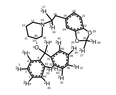 [2H]c1c([2H])c([2H])c(C([2H])(O[C@@H]2CCCN(C([2H])([2H])Cc3ccc4c(c3)OC([2H])([2H])O4)C2)c2c([2H])c([2H])c([2H])c([2H])c2[2H])c([2H])c1[2H]